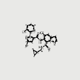 O=C(Nc1c(Cl)cc2ccnn2c1C(=O)NCC1CC1)c1cc(Br)nn1-c1ncccc1Cl